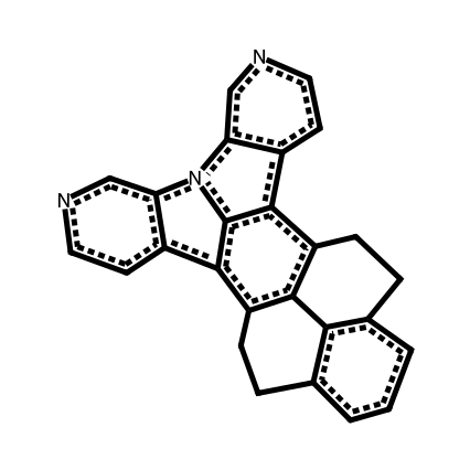 c1cc2c3c(c1)CCc1c-3c(c3c4ccncc4n4c5cnccc5c1c34)CC2